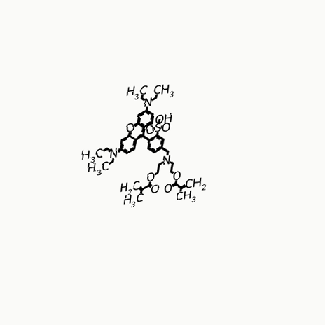 C=C(C)C(=O)OCCN(CCOC(=O)C(=C)C)Cc1ccc(-c2c3ccc(=[N+](CC)CC)cc-3oc3cc(N(CC)CC)ccc23)c(S(=O)(=O)O)c1